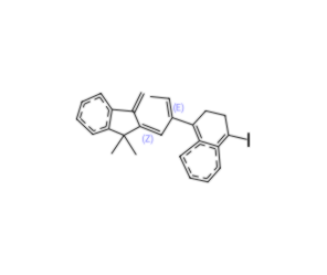 C=C1/C(=C\C(=C/C)C2=c3ccccc3=C(I)CC2)C(C)(C)c2ccccc21